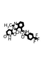 C=C1c2c(CNC(=O)C3=CCC(C(F)(F)F)C=C3)cccc2N=C(C)N1C1CCC(=O)NC1=O